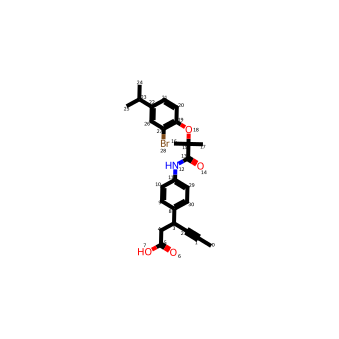 CC#CC(CC(=O)O)c1ccc(NC(=O)C(C)(C)Oc2ccc(C(C)C)cc2Br)cc1